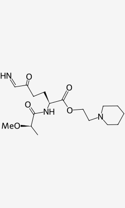 CO[C@H](C)C(=O)N[C@@H](CCC(=O)C=N)C(=O)OCCN1CCCCC1